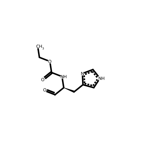 CCOC(=O)N[C@H]([C]=O)Cc1c[nH]cn1